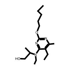 CCCCCOc1nc(C)c(CC)c(N(CC)C(C)CO)n1